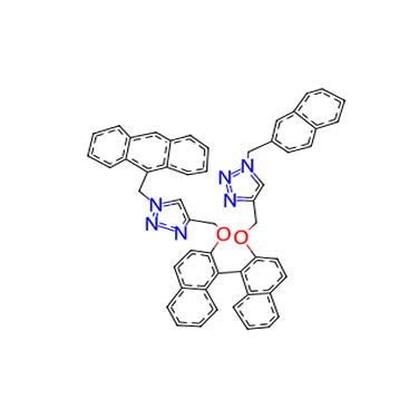 c1ccc2cc(Cn3cc(COc4ccc5ccccc5c4-c4c(OCc5cn(Cc6c7ccccc7cc7ccccc67)nn5)ccc5ccccc45)nn3)ccc2c1